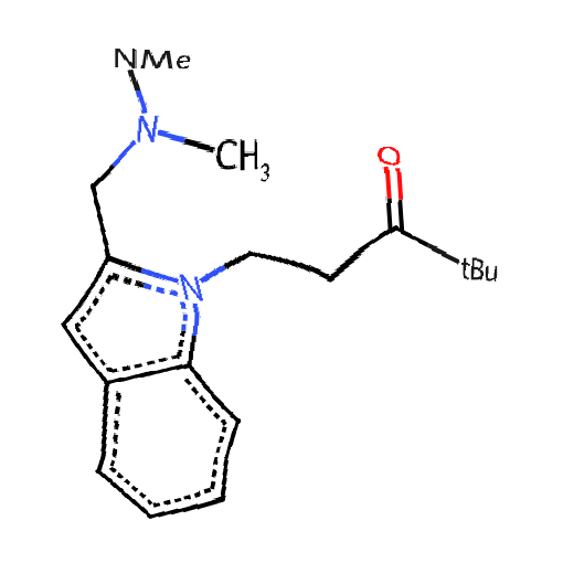 CNN(C)Cc1cc2ccccc2n1CCC(=O)C(C)(C)C